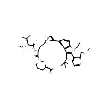 CCn1c(-c2cccnc2[C@H](C)OC)c2c3cc(ccc31)-c1cnc(o1)C[C@H](NC(=O)[C@@H](NC)C(C)C)C(=O)N1CCC[C@H](N1)C(=O)OCC(C)(C)C2